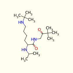 CC(C)NC(CCCCNC(C)(C)C)C(=O)NCC(=O)C(C)(C)C